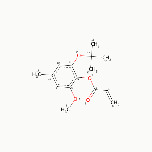 C=CC(=O)Oc1c(OC)cc(C)cc1OC(C)(C)C